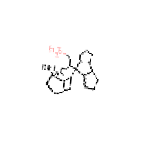 BCC(C)C1(C2CC3CCC(CC)C32)C2CCCC2C2CCCC21